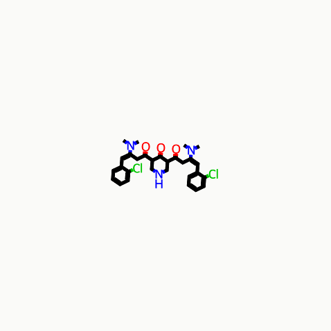 CN(C)/C(=C/c1ccccc1Cl)CC(=O)C1CNCC(C(=O)C/C(=C\c2ccccc2Cl)N(C)C)C1=O